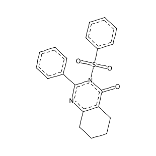 O=c1c2c(nc(-c3ccccc3)n1S(=O)(=O)c1ccccc1)CCCC2